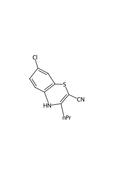 CCCC1=C(C#N)Sc2cc(Cl)ccc2N1